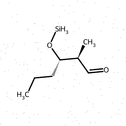 CCC[C@H](O[SiH3])[C@@H](C)C=O